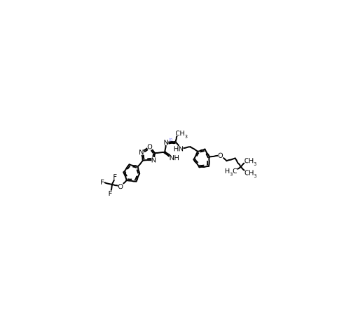 C/C(=N/C(=N)c1nc(-c2ccc(OC(F)(F)F)cc2)no1)NCc1cccc(OCCC(C)(C)C)c1